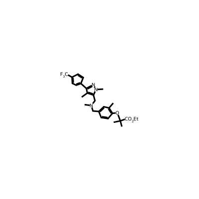 CCOC(=O)C(C)(C)Oc1ccc(CN(C)Cc2c(C)c(-c3ccc(C(F)(F)F)cc3)nn2C)cc1C